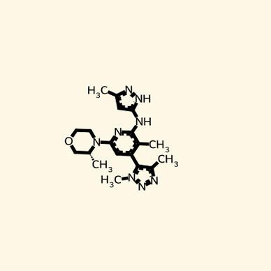 Cc1cc(Nc2nc(N3CCOC[C@H]3C)cc(-c3c(C)nnn3C)c2C)[nH]n1